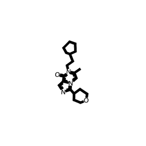 Cc1cn2c(C3CCOCC3)ncc2c(=O)n1CCC1CCCCC1